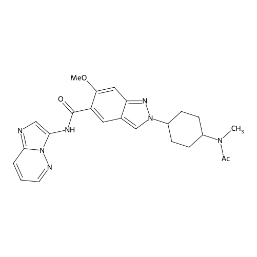 COc1cc2nn(C3CCC(N(C)C(C)=O)CC3)cc2cc1C(=O)Nc1cnc2cccnn12